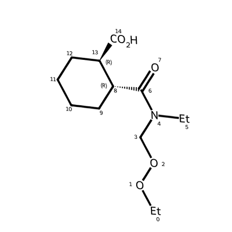 CCOOCN(CC)C(=O)[C@@H]1CCCC[C@H]1C(=O)O